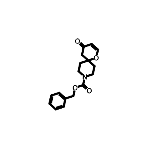 O=C1C=COC2(CCN(C(=O)OCc3ccccc3)CC2)C1